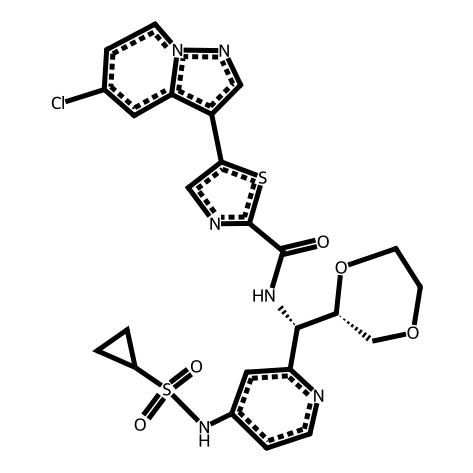 O=C(N[C@@H](c1cc(NS(=O)(=O)C2CC2)ccn1)[C@H]1COCCO1)c1ncc(-c2cnn3ccc(Cl)cc23)s1